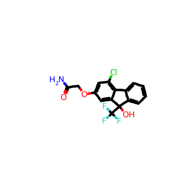 NC(=O)COc1cc(Cl)c2c(c1)C(O)(C(F)(F)F)c1ccccc1-2